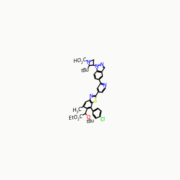 CCOC(=O)C(OC(C)(C)C)c1c(C)cc2nc(-c3ccnc(-c4ccc5c(cnn5C5CN(C(=O)O)C5C(C)(C)C)c4)c3)sc2c1-c1ccc(Cl)cc1